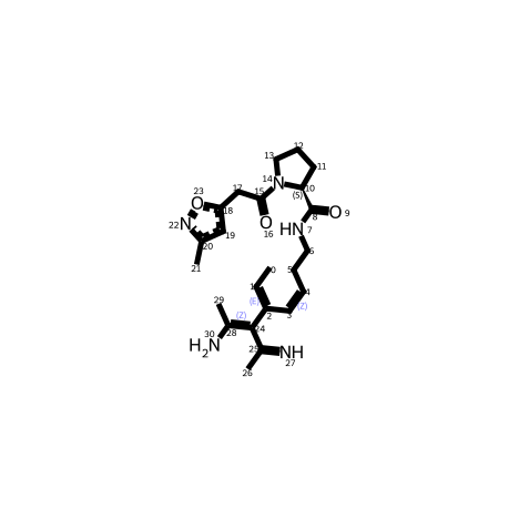 C/C=C(\C=C/CCNC(=O)[C@@H]1CCCN1C(=O)Cc1cc(C)no1)C(/C(C)=N)=C(\C)N